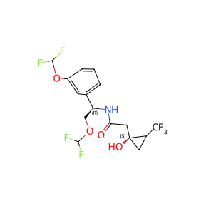 O=C(C[C@@]1(O)CC1C(F)(F)F)N[C@@H](COC(F)F)c1cccc(OC(F)F)c1